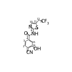 N#Cc1ccc(C(=O)Nc2ncc(CC(F)(F)F)s2)cc1O